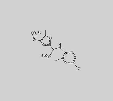 CCOC(=O)Oc1cc(C(Nc2ccc(Cl)cc2C)C(=O)OCC)oc1C